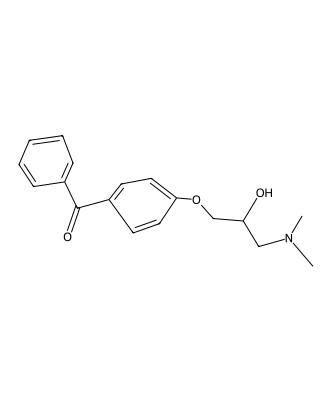 CN(C)CC(O)COc1ccc(C(=O)c2ccccc2)cc1